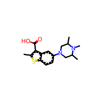 Cc1sc2ccc(N3CC(C)N(C)C(C)C3)cc2c1C(=O)O